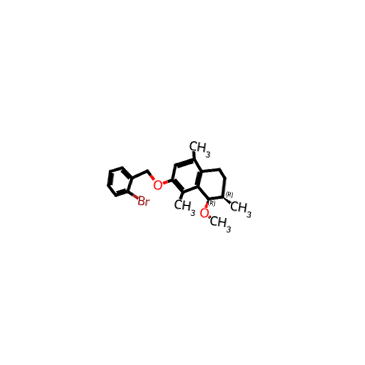 CO[C@H]1c2c(C)c(OCc3ccccc3Br)cc(C)c2CC[C@H]1C